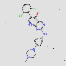 CN1CCN(c2ccc(Nc3ncc4c(=O)c(-c5c(Cl)cccc5Cl)c[nH]c4n3)cc2)CC1